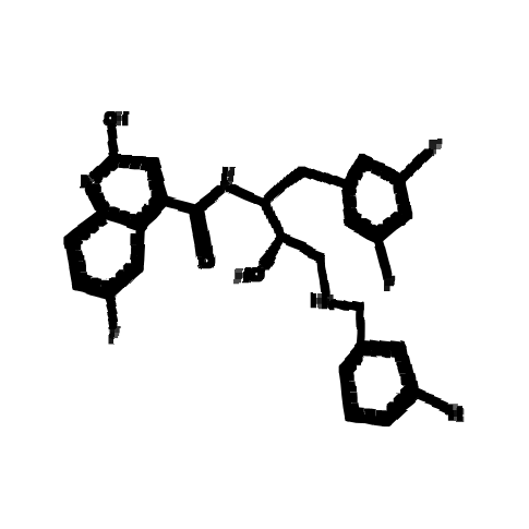 CCc1cccc(CNC[C@@H](O)[C@H](Cc2cc(F)cc(F)c2)NC(=O)c2cc(O)nc3ccc(F)cc23)c1